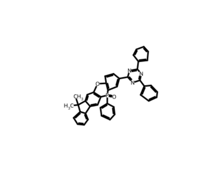 CC1(C)c2ccccc2-c2cc3c(cc21)Oc1ccc(-c2nc(-c4ccccc4)nc(-c4ccccc4)n2)cc1P3(=O)c1ccccc1